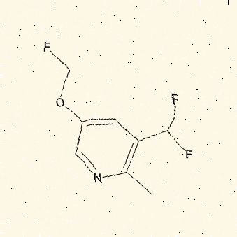 Cc1ncc(OCF)cc1C(F)F